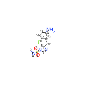 CN(C)S(=O)(=O)n1cnc(Cc2cc(N)ccc2F)c1